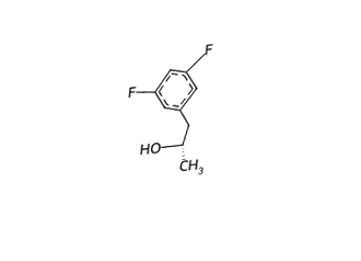 C[C@H](O)Cc1cc(F)cc(F)c1